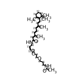 CC(=O)NCCCOCCOO/C=C\CNC(=O)/C=C(C)/C=C/C=C(C)/C=C/C1=C(C)CCCC1(C)C